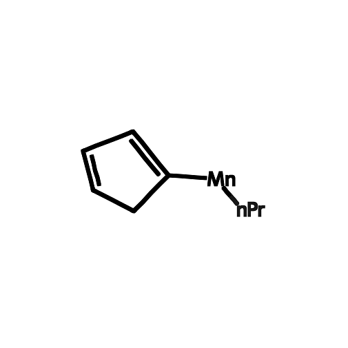 CC[CH2][Mn][C]1=CC=CC1